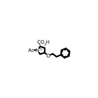 CC(=O)N1CC(OCCc2ccccc2)C[C@H]1C(=O)O